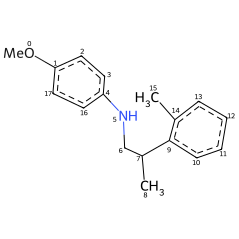 COc1ccc(NCC(C)c2ccccc2C)cc1